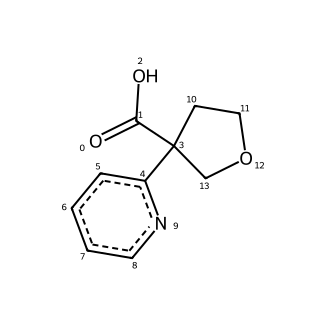 O=C(O)C1(c2ccccn2)CCOC1